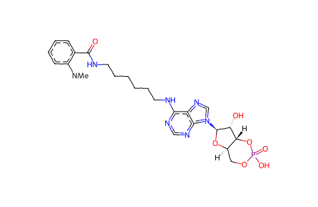 CNc1ccccc1C(=O)NCCCCCCNc1ncnc2c1ncn2[C@@H]1O[C@@H]2COP(=O)(O)O[C@H]2[C@H]1O